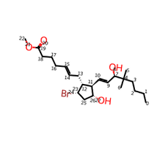 CCCCC(C)(C)[C@H](O)C=C[C@@H]1[C@@H](CC=CCCCC(=O)OC)[C@@H](Br)C[C@H]1O